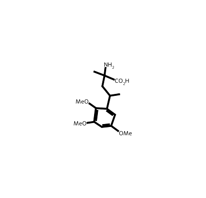 COc1cc(OC)c(OC)c(C(C)CC(C)(N)C(=O)O)c1